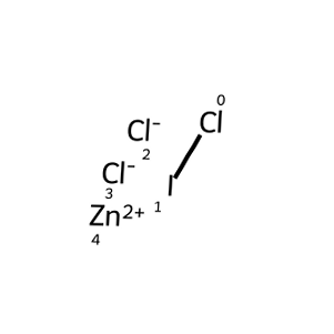 ClI.[Cl-].[Cl-].[Zn+2]